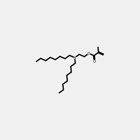 C=C(C)C(=O)OCCN(CCCCCCCC)CCCCCCCC